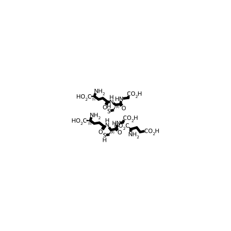 N[C@@H](CCC(=O)N[C@@H](CS)C(=O)NCC(=O)O)C(=O)O.N[C@@H](CCC(=O)N[C@@H](CS)C(=O)NCC(=O)O)C(=O)O.N[C@@H](CCC(=O)O)C(=O)O